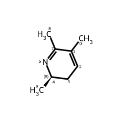 CC1=CC[C@@H](C)N=C1C